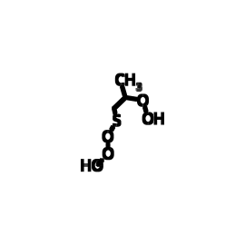 CC(CSOOO)OO